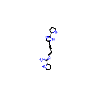 N/C(=N\C=C\C#Cc1cnc([C@@H]2CCCN2)[nH]1)[C@@H]1CCCN1